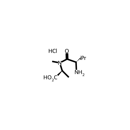 CC(C)[C@H](N)C(=O)N(C)[C@@H](C)C(=O)O.Cl